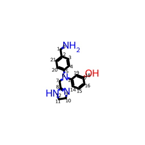 NCc1ccc(N(CC2=NCCN2)c2cccc(O)c2)cc1